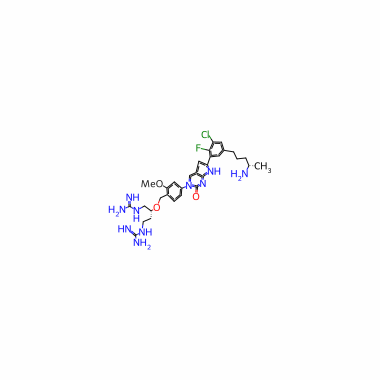 COc1cc(-n2cc3cc(-c4cc(CCC[C@H](C)N)cc(Cl)c4F)[nH]c3nc2=O)ccc1CO[C@H](CCNC(=N)N)CNC(=N)N